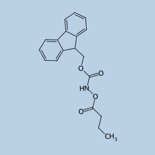 CCCC(=O)ONC(=O)OCC1c2ccccc2-c2ccccc21